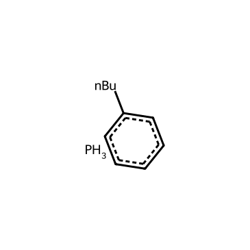 CCCCc1ccccc1.P